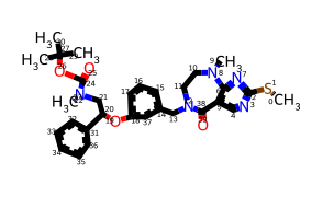 CSc1ncc2c(n1)N(C)CCN(Cc1cccc(OC(CN(C)C(=O)OC(C)(C)C)c3ccccc3)c1)C2=O